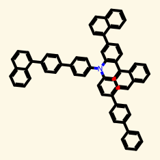 c1ccc(-c2ccc(-c3ccc(N(c4ccc(-c5ccc(-c6cccc7ccccc67)cc5)cc4)c4cc(-c5cccc6ccccc56)ccc4-c4cccc5ccccc45)cc3)cc2)cc1